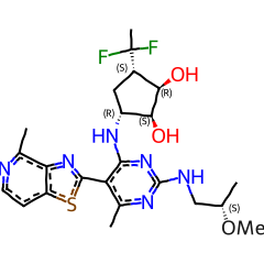 CO[C@@H](C)CNc1nc(C)c(-c2nc3c(C)nccc3s2)c(N[C@@H]2C[C@H](C(C)(F)F)[C@@H](O)[C@H]2O)n1